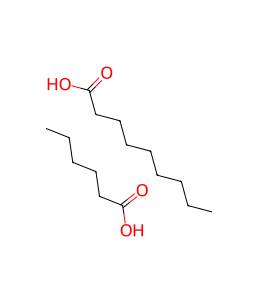 CCCCCC(=O)O.CCCCCCCCC(=O)O